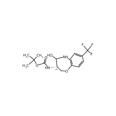 CC(C)(C)OC(=O)N[C@H]1COc2ccc(C(F)(F)F)cc2NC1O